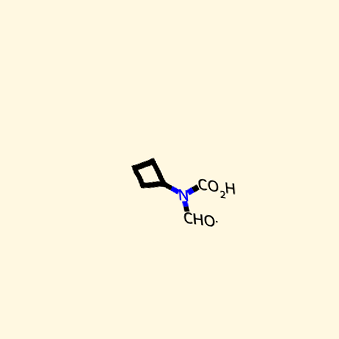 O=[C]N(C(=O)O)C1CCC1